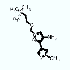 Cn1cc(-c2nn(COCC[Si](C)(C)C)cc2N)cn1